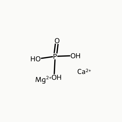 O=P(O)(O)O.[Ca+2].[Mg+2]